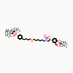 CC1(C)OCc2cc([C@@H]3CN(CCCCCCOCCCCc4ccc(B5OC(C)(C)C(C)(C)O5)cc4)C(=O)O3)ccc2O1